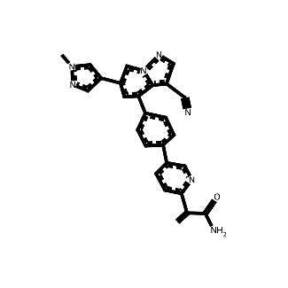 C=C(C(N)=O)c1ccc(-c2ccc(-c3cc(-c4cnn(C)c4)cn4ncc(C#N)c34)cc2)cn1